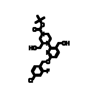 CC(C)(C)OC(=O)N1CCN(c2nc(OCc3ccc(Cl)cc3F)ccc2CO)C(CO)C1